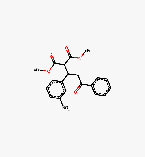 CCCOC(=O)C(C(=O)OCCC)C(CC(=O)c1ccccc1)c1cccc([N+](=O)[O-])c1